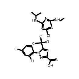 CCNc1nc(Cl)nc(NC(C)C)n1.O=C(O)c1nc(C(Cl)(Cl)Cl)n(-c2ccc(Cl)cc2Cl)n1